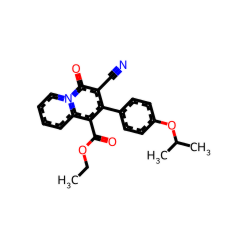 CCOC(=O)c1c(-c2ccc(OC(C)C)cc2)c(C#N)c(=O)n2ccccc12